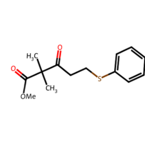 COC(=O)C(C)(C)C(=O)CCSc1ccccc1